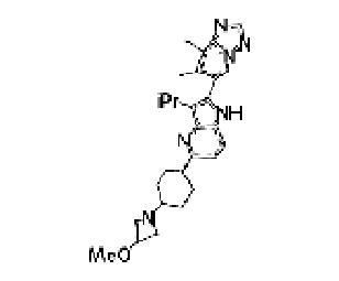 COC1CN(C2CCC(c3ccc4[nH]c(-c5cn6ncnc6c(C)c5C)c(C(C)C)c4n3)CC2)C1